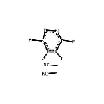 CC#N.CC#N.Fn1pnp(F)n(F)p1F